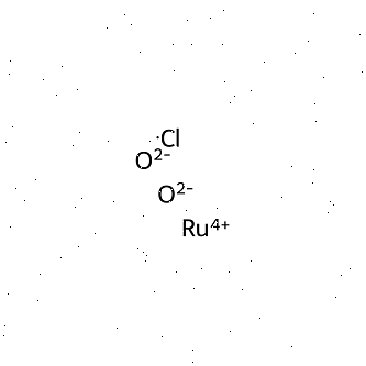 [Cl].[O-2].[O-2].[Ru+4]